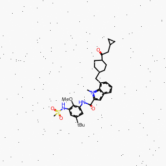 COc1c(NC(=O)c2cc3cccc(CC4CCC(C(=O)CC5CC5)CC4)c3n2C)cc(C(C)(C)C)cc1NS(C)(=O)=O